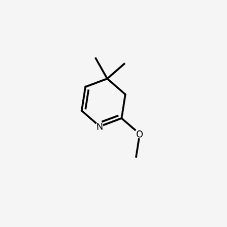 COC1=NC=CC(C)(C)C1